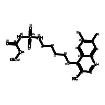 Cc1cc2ncc(C#N)c(SCCCCNS(=O)(=O)NC(=O)OC(C)(C)C)c2cc1C